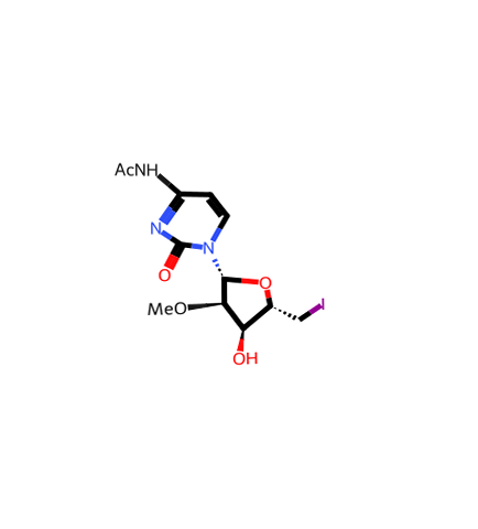 CO[C@@H]1[C@H](O)[C@@H](CI)O[C@H]1n1ccc(NC(C)=O)nc1=O